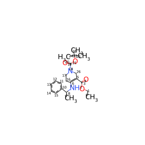 CCOC(=O)C1=C(N[C@@H](C)c2ccccc2)CCN(C(=O)OC(C)(C)C)C1